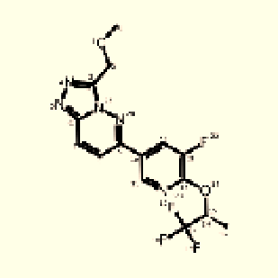 COCc1nnc2ccc(-c3cnc(O[C@@H](C)C(F)(F)F)c(F)c3)nn12